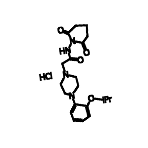 CC(C)Oc1ccccc1N1CCN(CC(=O)NN2C(=O)CCCC2=O)CC1.Cl